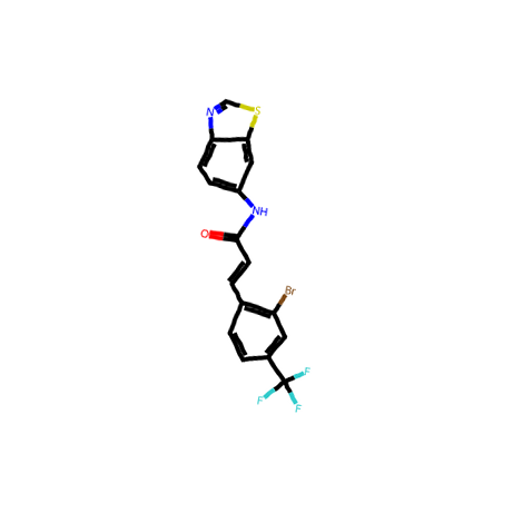 O=C(C=Cc1ccc(C(F)(F)F)cc1Br)Nc1ccc2ncsc2c1